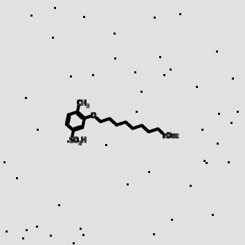 CCCCCCCCCCCCCCCCCCOc1cc(S(=O)(=O)O)ccc1C